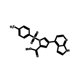 COC(=O)c1cc(-c2ccnc3[nH]ccc23)cn1S(=O)(=O)c1ccc(C)cc1